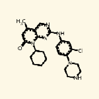 Cc1cc(=O)n(C2CCCCC2)c2nc(Nc3ccc(N4CCNCC4)c(Cl)c3)ncc12